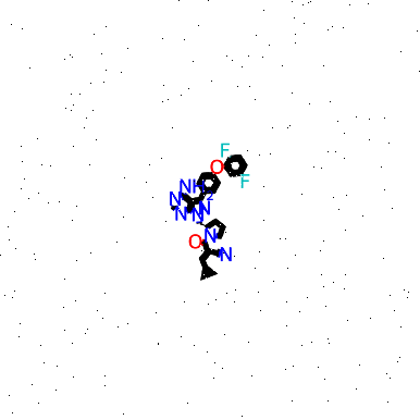 N#CC(=CC1CC1)C(=O)N1CCC[C@H]1Cn1nc(-c2ccc(Oc3cc(F)ccc3F)cc2)c2c(N)ncnc21